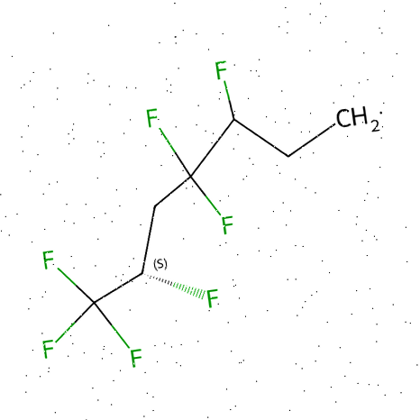 [CH2]CC(F)C(F)(F)C[C@H](F)C(F)(F)F